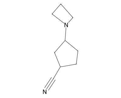 N#CC1CCC(N2CCC2)C1